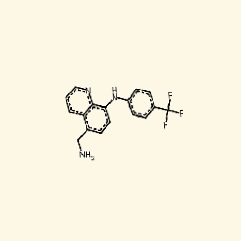 NCc1ccc(Nc2ccc(C(F)(F)F)cc2)c2ncccc12